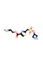 C=CCOC(=O)c1csc(CS(=O)(=O)OC2CNC2)n1